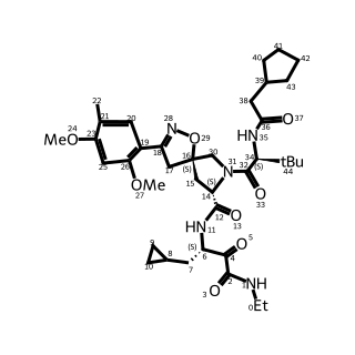 CCNC(=O)C(=O)[C@H](CC1CC1)NC(=O)[C@@H]1C[C@]2(CC(c3cc(C)c(OC)cc3OC)=NO2)CN1C(=O)[C@@H](NC(=O)CC1CCCC1)C(C)(C)C